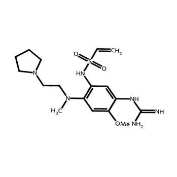 C=CS(=O)(=O)Nc1cc(NC(=N)N)c(OC)cc1N(C)CCN1CCCC1